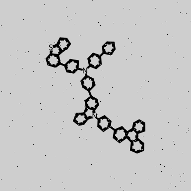 c1ccc(-c2ccc(N(c3ccc(-c4ccc5c(c4)c4ccccc4n5-c4ccc(-c5ccc6c7ccccc7c7ccccc7c6c5)cc4)cc3)c3ccc(-c4cccc5sc6ccccc6c45)cc3)cc2)cc1